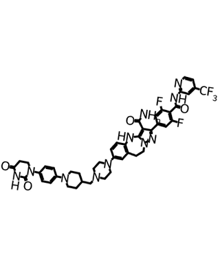 NC(=O)c1c(-c2cc(F)c(C(=O)Nc3cc(C(F)(F)F)ccn3)c(F)c2)nn2c1Nc1ccc(N3CCN(CC4CCN(c5ccc(N6CCC(=O)NC6=O)cc5)CC4)CC3)cc1CC2